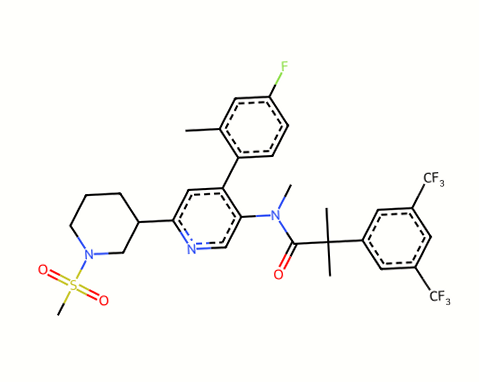 Cc1cc(F)ccc1-c1cc(C2CCCN(S(C)(=O)=O)C2)ncc1N(C)C(=O)C(C)(C)c1cc(C(F)(F)F)cc(C(F)(F)F)c1